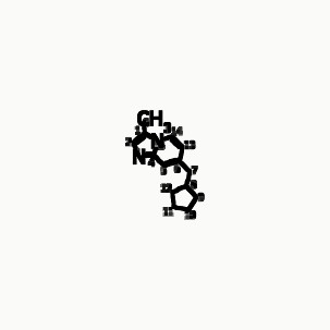 Cc1cnc2cc(CC3CCCC3)ccn12